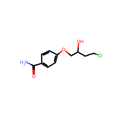 NC(=O)c1ccc(OCC(O)CCCl)cc1